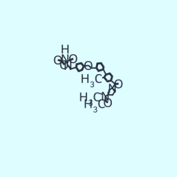 CCN(C(C)=O)C1CCN(C(=O)c2ccc(-c3cccc(COc4ccc(Cn5oc(=O)[nH]c5=O)cc4)c3)c(C)c2)C1